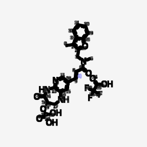 Cc1c(CN(C)C(=O)/C=C/c2cnc3c(c2)NC[C@H](OP(=O)(O)O)C(=O)N3)oc2ccccc12.O=C(O)C(F)(F)F